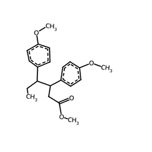 CCC(c1ccc(OC)cc1)C(CC(=O)OC)c1ccc(OC)cc1